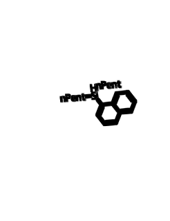 CCCCC[SiH](CCCCC)c1cccc2ccccc12